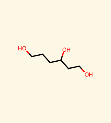 OC[CH]C(O)CCCO